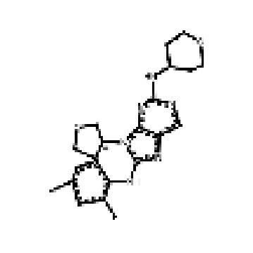 Fc1ccc(Nc2nc3cnc(NC4CCOCC4)nc3n2[C@H]2CCOC2)c(F)c1